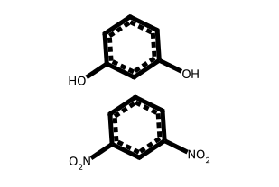 O=[N+]([O-])c1cccc([N+](=O)[O-])c1.Oc1cccc(O)c1